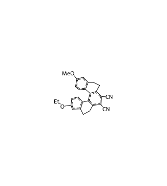 CCOc1ccc2c(c1)CCc1c(C#N)c(C#N)c3c(c1-2)-c1ccc(OC)cc1CC3